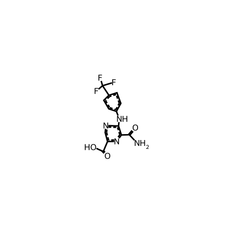 NC(=O)c1nc(C(=O)O)cnc1Nc1ccc(C(F)(F)F)cc1